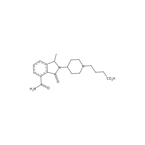 CC1c2cccc(C(N)=O)c2C(=O)N1C1CCN(CCCC(=O)O)CC1